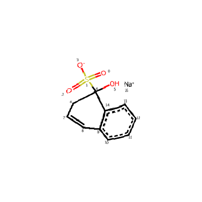 O=S(=O)([O-])C1(O)CC=Cc2ccccc21.[Na+]